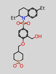 CCc1ccc2c(c1)CCC(CC)N2S(=O)(=O)c1ccc(OCC2CCS(=O)(=O)CC2)c(CO)c1